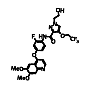 COc1cc2nccc(Oc3ccc(NC(=O)c4nn(CCO)cc4OCC(F)(F)F)c(F)c3)c2cc1OC